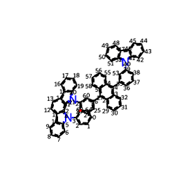 c1ccc(-n2c3ccccc3c3ccc4c5ccccc5n(-c5cccc(-c6c7ccccc7c(-c7cccc(-n8c9ccccc9c9ccccc98)c7)c7ccccc67)c5)c4c32)cc1